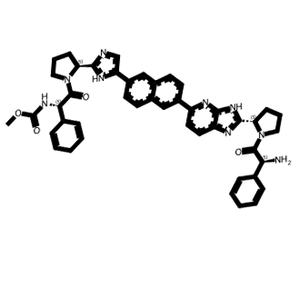 COC(=O)N[C@H](C(=O)N1CCC[C@H]1c1ncc(-c2ccc3cc(-c4ccc5nc([C@@H]6CCCN6C(=O)[C@@H](N)C6C=CCC=C6)[nH]c5n4)ccc3c2)[nH]1)C1C=CCC=C1